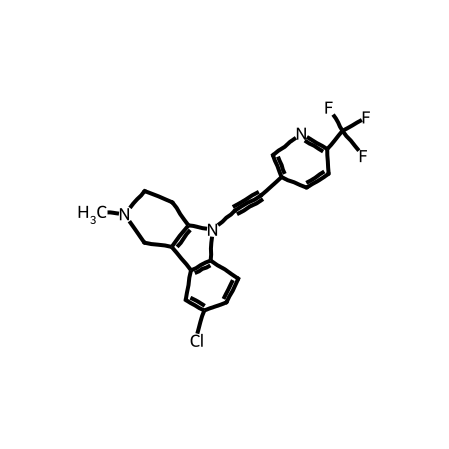 CN1CCc2c(c3cc(Cl)ccc3n2C#Cc2ccc(C(F)(F)F)nc2)C1